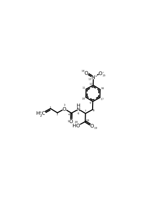 C=CCOC(=O)NC(Cc1ccc([N+](=O)[O-])cc1)C(=O)O